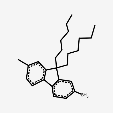 Bc1ccc2c(c1)C(CCCCCC)(CCCCCC)c1cc(C)ccc1-2